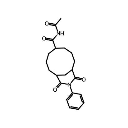 CC(=O)NC(=O)C1CCCC2CC(CCC1)C(=O)N(c1ccccc1)C2=O